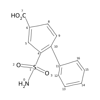 NS(=O)(=O)c1cc(C(=O)O)ccc1-c1ccccc1